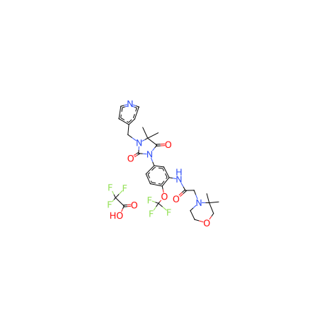 CC1(C)COCCN1CC(=O)Nc1cc(N2C(=O)N(Cc3ccncc3)C(C)(C)C2=O)ccc1OC(F)(F)F.O=C(O)C(F)(F)F